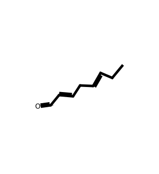 CCC=CCC=C[C]=O